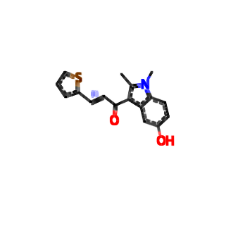 Cc1c(C(=O)/C=C/c2cccs2)c2cc(O)ccc2n1C